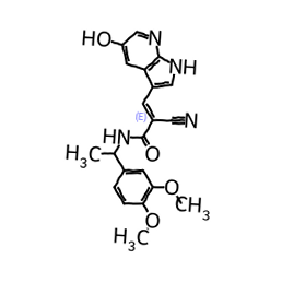 COc1ccc(C(C)NC(=O)/C(C#N)=C/c2c[nH]c3ncc(O)cc23)cc1OC